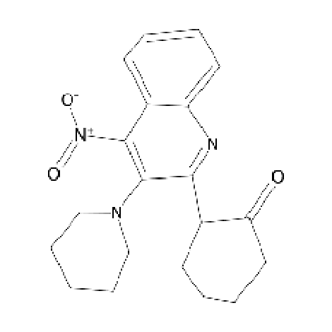 O=C1CCCCC1c1nc2ccccc2c([N+](=O)[O-])c1N1CCCCC1